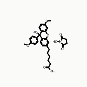 COc1ccc(C2(O)c3ccc(CCCCCC(=O)O)cc3Oc3cc(OC)ccc32)cc1.O=C1CCC(=O)N1O